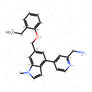 Cn1ccc2c(-c3ccnc(CN)c3)cc(COc3ccccc3CC(=O)O)cc21